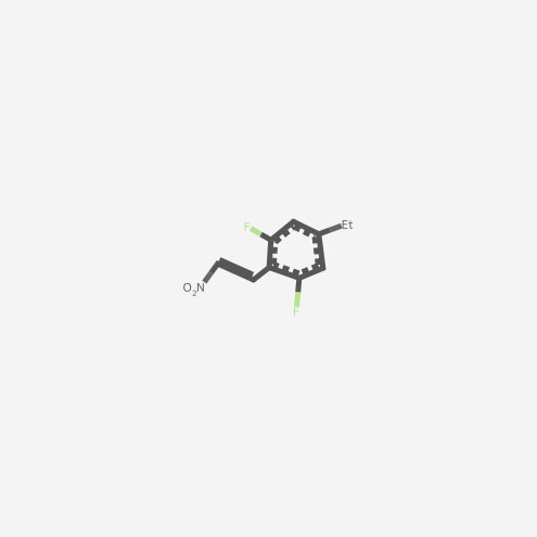 CCc1cc(F)c(/C=C/[N+](=O)[O-])c(F)c1